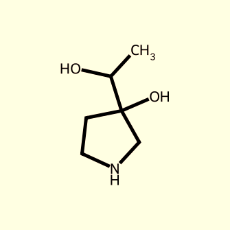 CC(O)C1(O)CCNC1